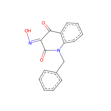 O=C1C(=NO)C(=O)N(Cc2ccccc2)c2ccccc21